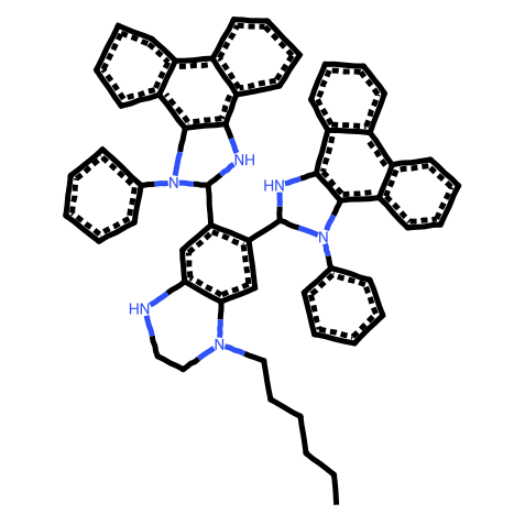 CCCCCCN1CCNc2cc(C3Nc4c(c5ccccc5c5ccccc45)N3c3ccccc3)c(C3Nc4c(c5ccccc5c5ccccc45)N3c3ccccc3)cc21